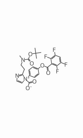 CN(CCC1=NC=C[N+]1(C(=O)[O-])c1ccc(OC(=O)c2c(F)c(F)cc(F)c2F)cc1)C(=O)OC(C)(C)C